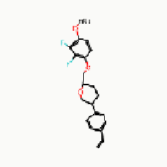 C=Cc1ccc(C2CCC(COc3ccc(OCCCC)c(F)c3F)OC2)cc1